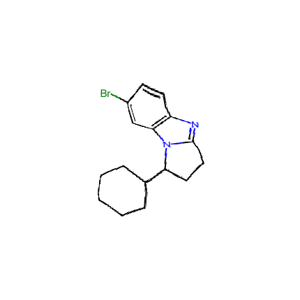 Brc1ccc2nc3n(c2c1)C(C1CCCCC1)CC3